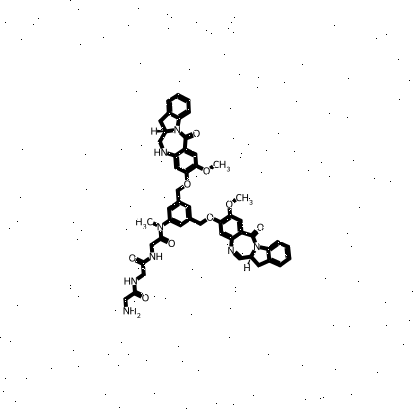 COc1cc2c(cc1OCc1cc(COc3cc4c(cc3OC)C(=O)N3c5ccccc5C[C@H]3CN4)cc(N(C)C(=O)CNC(=O)CNC(=O)CN)c1)N=C[C@@H]1Cc3ccccc3N1C2=O